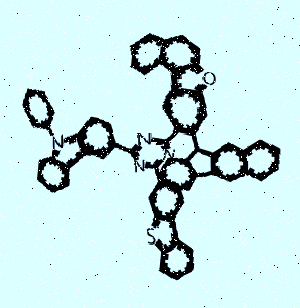 c1ccc(-n2c3ccccc3c3cc(-c4nc(-c5ccc6c(c5)sc5ccccc56)nc(-c5cc6c(cc5C5c7ccccc7-c7cc8ccccc8cc75)oc5ccc7ccccc7c56)n4)ccc32)cc1